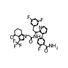 NC(=O)c1cc(-c2cccnc2[C@H](Cc2cc(F)cc(F)c2)NC(=O)Cn2cc(C(F)(F)F)c3c2CCCC3=O)ccc1F